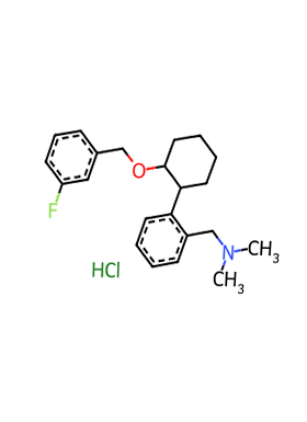 CN(C)Cc1ccccc1C1CCCCC1OCc1cccc(F)c1.Cl